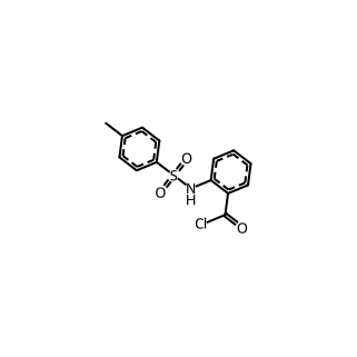 Cc1ccc(S(=O)(=O)Nc2ccccc2C(=O)Cl)cc1